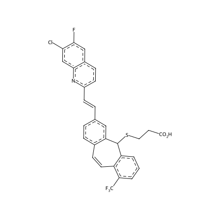 O=C(O)CCSC1c2cc(/C=C/c3ccc4cc(F)c(Cl)cc4n3)ccc2C=Cc2c1cccc2C(F)(F)F